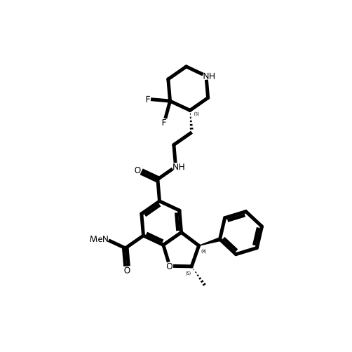 CNC(=O)c1cc(C(=O)NCC[C@H]2CNCCC2(F)F)cc2c1O[C@@H](C)[C@@H]2c1ccccc1